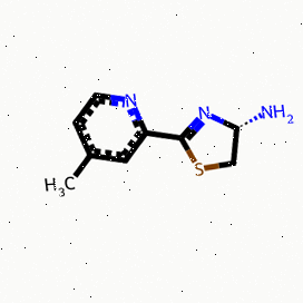 Cc1ccnc(C2=N[C@H](N)CS2)c1